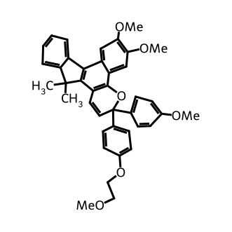 COCCOc1ccc(C2(c3ccc(OC)cc3)C=Cc3c4c(c5cc(OC)c(OC)cc5c3O2)-c2ccccc2C4(C)C)cc1